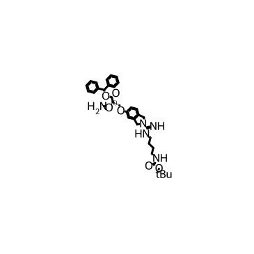 CC(C)(C)OC(=O)NCCCCNC(=N)N1Cc2ccc(OC[C@H](ON)C(=O)OC(c3ccccc3)c3ccccc3)cc2C1